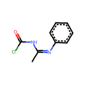 CC(=Nc1ccccc1)NC(=O)Cl